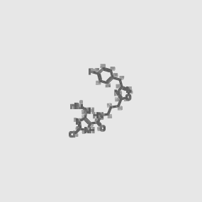 CCCCNc1nc(Cl)[nH]c1C(=O)NCCCc1nc(Cc2ccc(F)cc2)no1